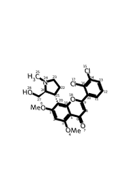 COc1cc(OC)c2c(=O)cc(-c3cccc(Cl)c3Cl)oc2c1[C@H]1CCN(C)[C@@H]1CO